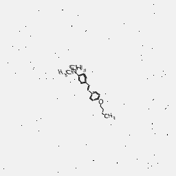 CCCCOc1ccc(/C=C/c2ccc(N(C)C)cc2)cc1